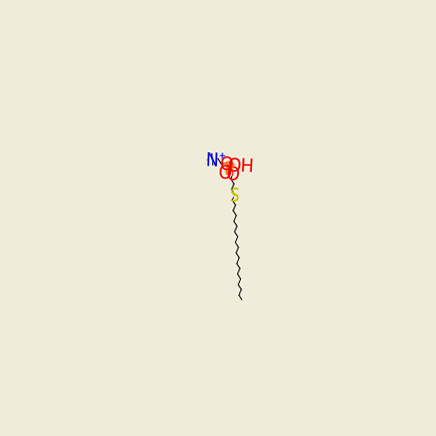 CCCCCCCCCCCCCCCCCCCCSCCCOP(=O)(O)OCC[N+](C)(C)C